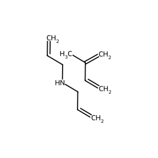 C=CC(=C)C.C=CCNCC=C